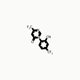 N#Cc1cc(C(F)(F)F)ccc1-n1cnc(C(F)(F)F)cc1=O